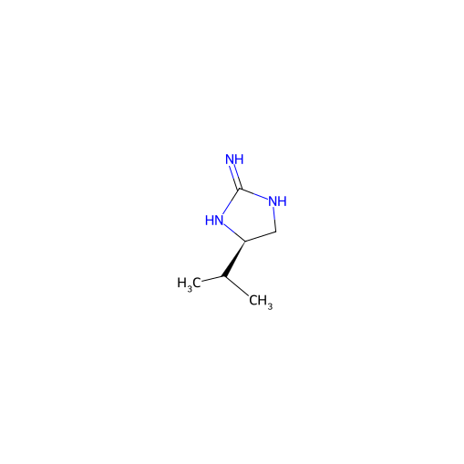 CC(C)[C@@H]1CNC(=N)N1